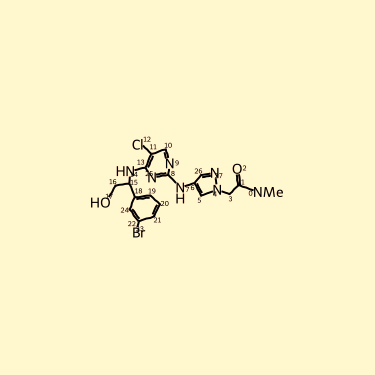 CNC(=O)Cn1cc(Nc2ncc(Cl)c(NC(CO)c3cccc(Br)c3)n2)cn1